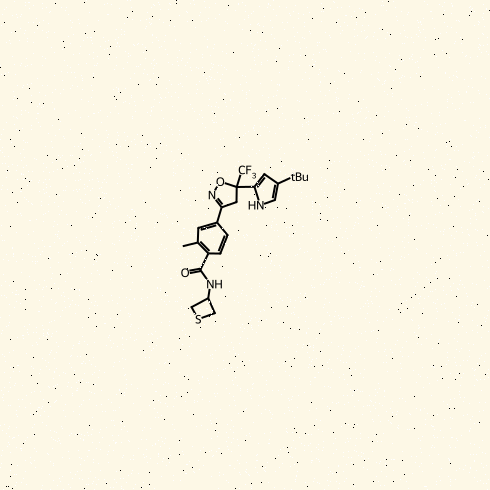 Cc1cc(C2=NOC(c3cc(C(C)(C)C)c[nH]3)(C(F)(F)F)C2)ccc1C(=O)NC1CSC1